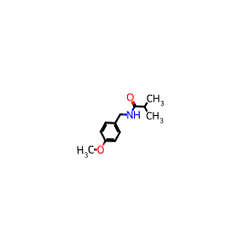 COc1ccc(CNC(=O)C(C)C)cc1